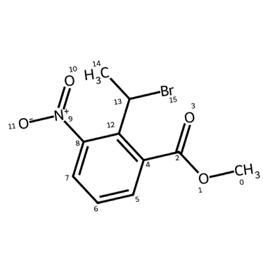 COC(=O)c1cccc([N+](=O)[O-])c1C(C)Br